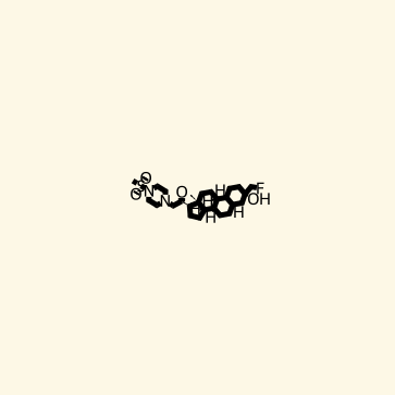 C[C@]12CC[C@H]3[C@@H](CC[C@H]4C[C@@](O)(CF)CC[C@@H]43)[C@@H]1CC[C@@H]2C(=O)CN1CCN(S(C)(=O)=O)CC1